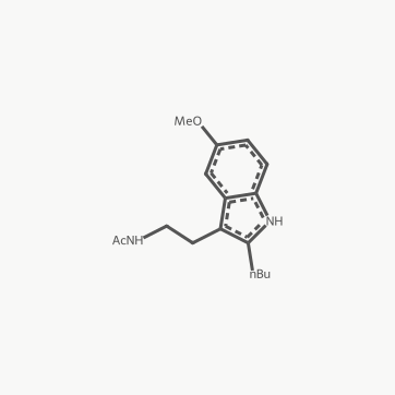 CCCCc1[nH]c2ccc(OC)cc2c1CCNC(C)=O